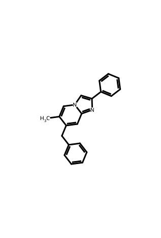 Cc1cn2cc(-c3ccccc3)nc2cc1Cc1ccccc1